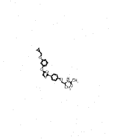 CC(=O)NC(C)COc1ccc(-c2ncc(Oc3cccc(OCC4CC4)c3)o2)cc1